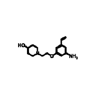 C=Cc1cc(N)cc(OCCN2CCC(O)CC2)c1